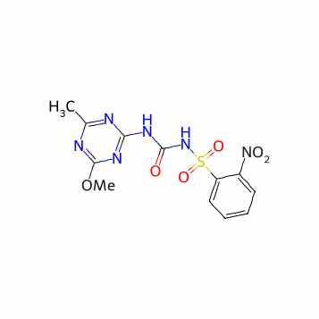 COc1nc(C)nc(NC(=O)NS(=O)(=O)c2ccccc2[N+](=O)[O-])n1